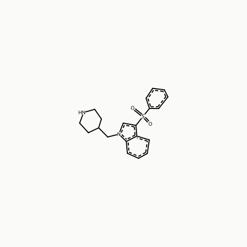 O=S(=O)(c1ccccc1)c1cn(CC2CCNCC2)c2ccccc12